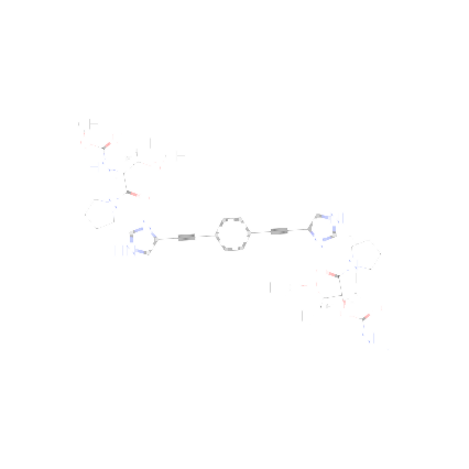 COC(=O)N[C@H](C(=O)N1CCC[C@H]1c1nc(C#Cc2ccc(C#Cc3c[nH]c([C@@H]4CCCN4C(=O)[C@@](C)(OC(N)=O)[C@@H](C)OC)n3)cc2)c[nH]1)[C@@H](C)OC